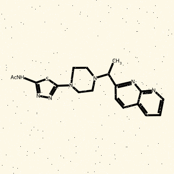 CC(=O)Nc1nnc(N2CCN(C(C)c3ccc4cccnc4n3)CC2)s1